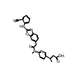 CC(CC(=O)O)c1ccc(N(C)C(=O)Cc2ccc3nc(Nc4ccccc4C#N)oc3c2)nc1